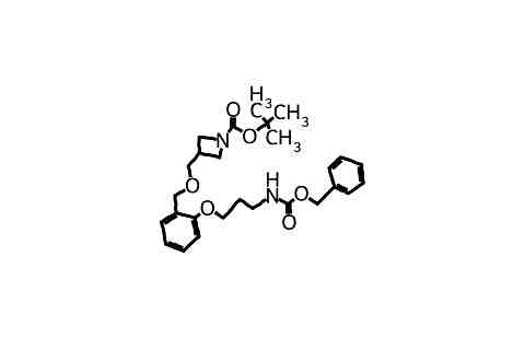 CC(C)(C)OC(=O)N1CC(COCc2ccccc2OCCCNC(=O)OCc2ccccc2)C1